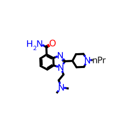 CCCN1CCC(c2nc3c(C(N)=O)cccc3n2CCN(C)C)CC1